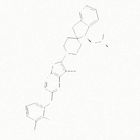 CC(C)(C)[S@+]([O-])N[C@@H]1c2ccccc2CC12CCN(c1[nH]c3ncc(Sc4cccc(Cl)c4Cl)nc3c1Br)CC2